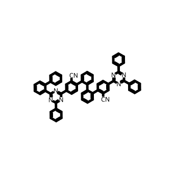 N#Cc1cc(-c2nc(-c3ccccc3)nc(-c3ccccc3)n2)ccc1-c1ccccc1-c1ccccc1-c1ccc(-c2nc(-c3ccccc3)nc(-c3ccccc3-c3ccccc3)n2)cc1C#N